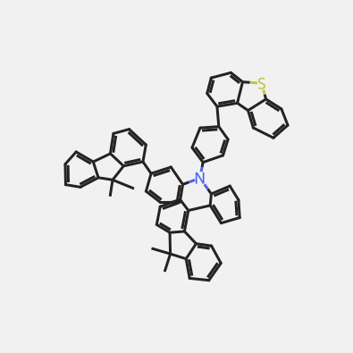 CC1(C)c2ccccc2-c2c(-c3ccccc3N(c3ccc(-c4cccc5sc6ccccc6c45)cc3)c3cccc(-c4cccc5c4C(C)(C)c4ccccc4-5)c3)cccc21